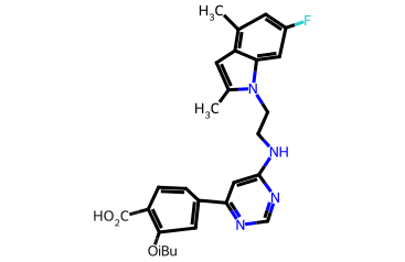 Cc1cc(F)cc2c1cc(C)n2CCNc1cc(-c2ccc(C(=O)O)c(OCC(C)C)c2)ncn1